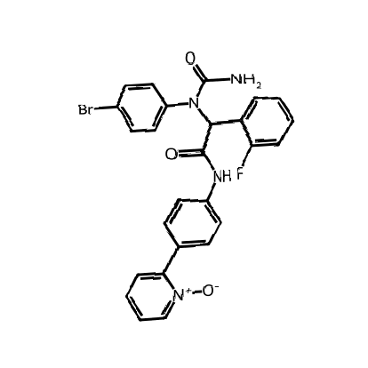 NC(=O)N(c1ccc(Br)cc1)C(C(=O)Nc1ccc(-c2cccc[n+]2[O-])cc1)c1ccccc1F